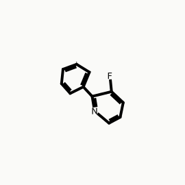 Fc1cccnc1-c1c[c]ccc1